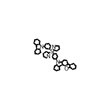 c1ccc([Si](c2ccc(-n3c4ccccc4c4c5oc6ccccc6c5ccc43)cc2)(c2cccc(-n3c4ccccc4c4ccccc43)c2)c2ccccn2)nc1